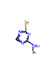 CC(C)Nc1ncnc(S)n1